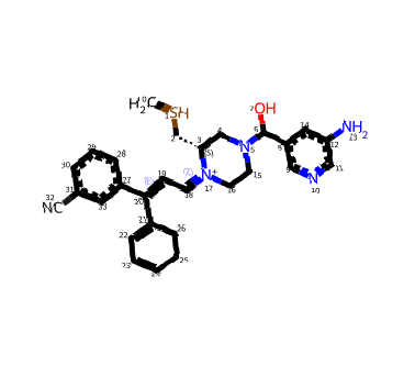 C=[SH]C[C@@H]1CN(C(O)c2cncc(N)c2)CC/[N+]1=C/C=C(\C1=CC=CCC1)c1cccc(C#N)c1